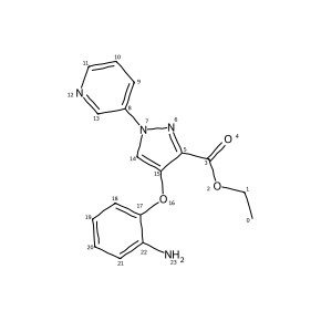 CCOC(=O)c1nn(-c2cccnc2)cc1Oc1ccccc1N